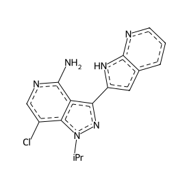 CC(C)n1nc(-c2cc3cccnc3[nH]2)c2c(N)ncc(Cl)c21